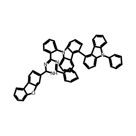 c1ccc(C2=NC(c3ccccc3-n3c4ccccc4c4c(-c5cccc6c5c5ccccc5n6-c5ccccc5)cccc43)=NC(c3ccc4c(c3)oc3ccccc34)N2)cc1